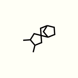 CC1CC2(CC3CCC2C3)CC1C